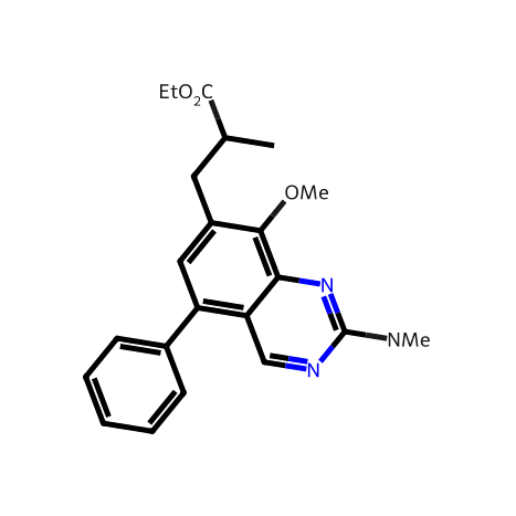 CCOC(=O)C(C)Cc1cc(-c2ccccc2)c2cnc(NC)nc2c1OC